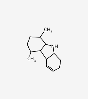 CC1CCC(C)C2C3C=CCCC3NC12